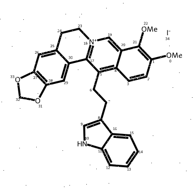 COc1ccc2c(CCc3c[nH]c4ccccc34)c3[n+](cc2c1OC)CCc1cc2c(cc1-3)OCO2.[I-]